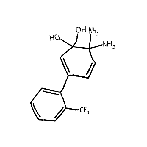 NC1(N)C=CC(c2ccccc2C(F)(F)F)=CC1(O)O